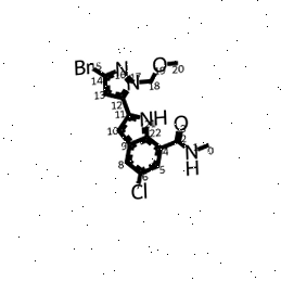 CNC(=O)c1cc(Cl)cc2cc(-c3cc(Br)nn3COC)[nH]c12